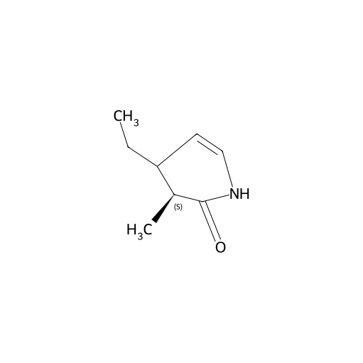 CCC1C=CNC(=O)[C@H]1C